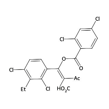 CCc1c(Cl)ccc(C(OC(=O)c2ccc(Cl)cc2Cl)=C(C(C)=O)C(=O)O)c1Cl